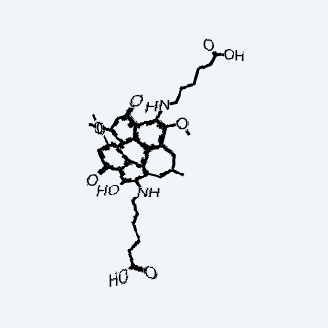 COc1c(NCCCCCC(=O)O)c2c(=O)cc(OC)c3c4c(OC)cc(=O)c5c(O)c(NCCCCCC(=O)O)c6c(c(c1CC(C)=C6)c23)c54